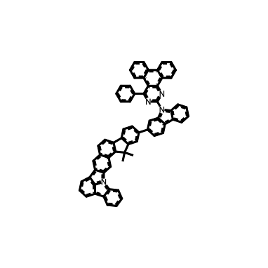 CC1(C)c2cc(-c3ccc4c5ccccc5n(-c5nc(-c6ccccc6)c6c7ccccc7c7ccccc7c6n5)c4c3)ccc2-c2ccc3cc4c5cccc6c7ccccc7n(c4cc3c21)c65